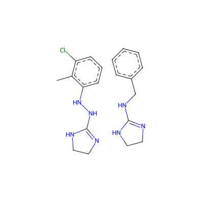 Cc1c(Cl)cccc1NNC1=NCCN1.c1ccc(CNC2=NCCN2)cc1